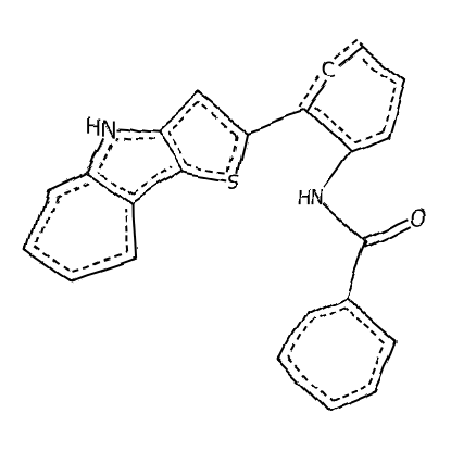 O=C(Nc1ccccc1-c1cc2[nH]c3ccccc3c2s1)c1ccccc1